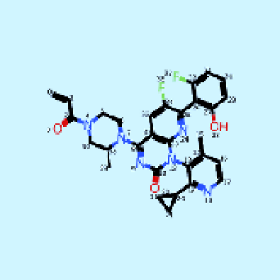 C=CC(=O)N1CCN(c2nc(=O)n(-c3c(C)ccnc3C3CC3)c3nc(-c4c(O)cccc4F)c(F)cc23)[C@@H](C)C1